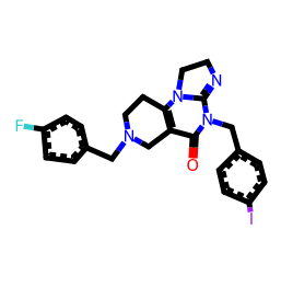 O=C1C2=C(CCN(Cc3ccc(F)cc3)C2)N2CCN=C2N1Cc1ccc(I)cc1